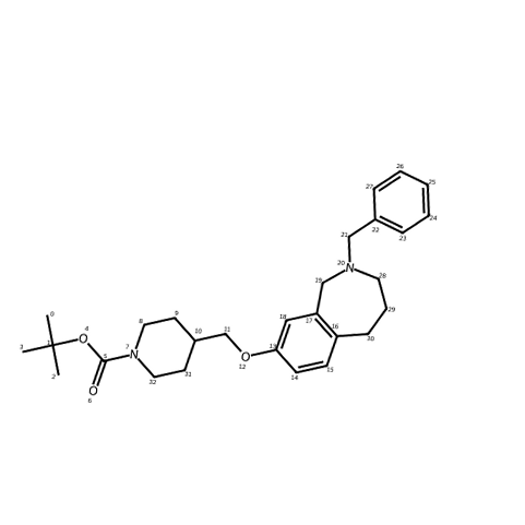 CC(C)(C)OC(=O)N1CCC(COc2ccc3c(c2)CN(Cc2ccccc2)CCC3)CC1